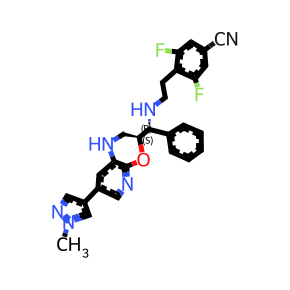 Cn1cc(-c2cnc3c(c2)NC[C@@H]([C@H](NCCc2c(F)cc(C#N)cc2F)c2ccccc2)O3)cn1